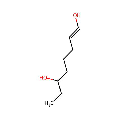 CCC(O)CCC/C=C/O